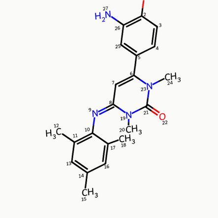 COc1ccc(-c2c/c(=N/c3c(C)cc(C)cc3C)n(C)c(=O)n2C)cc1N